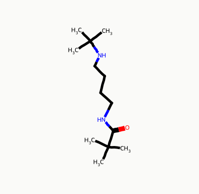 CC(C)(C)NCCCCNC(=O)C(C)(C)C